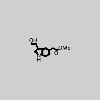 COC(=O)Cc1ccc2[nH]cc(CCO)c2c1